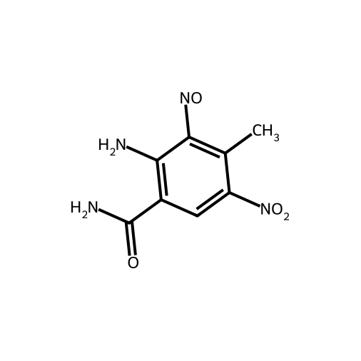 Cc1c([N+](=O)[O-])cc(C(N)=O)c(N)c1N=O